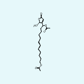 CC(=O)OCCCCCCCCCCCC(OC(C)=O)C1=CC(=O)OC1O